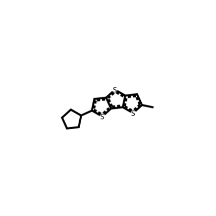 Cc1cc2sc3cc(C4CCCC4)sc3c2s1